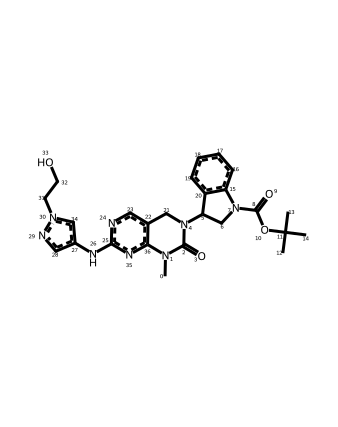 CN1C(=O)N(C2CN(C(=O)OC(C)(C)C)c3ccccc32)Cc2cnc(Nc3cnn(CCO)c3)nc21